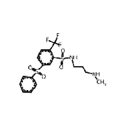 CNCCCNS(=O)(=O)c1cc(S(=O)(=O)c2ccccc2)ccc1C(F)(F)F